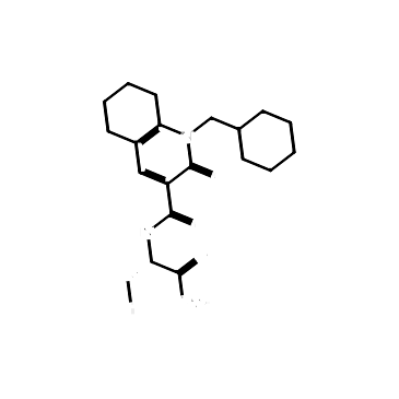 COC(=O)[C@H](CC(C)C)NC(=O)c1cc2c(n(CC3CCCCC3)c1=O)CCCC2